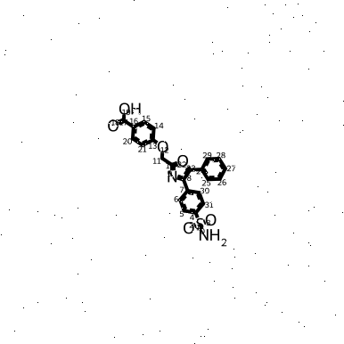 NS(=O)(=O)c1ccc(-c2nc(COc3ccc(C(=O)O)cc3)oc2-c2ccccc2)cc1